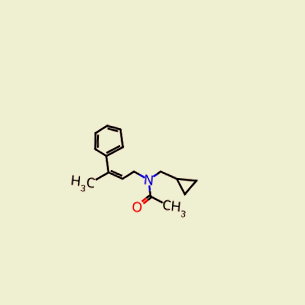 CC(=O)N(C/C=C(/C)c1ccccc1)CC1CC1